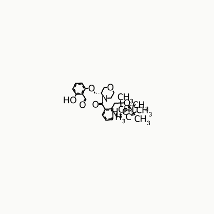 CC(C)(Cc1ncccc1C(=O)N1CCOC[C@H]1COc1cccc(O)c1C=O)O[Si](C)(C)C(C)(C)C